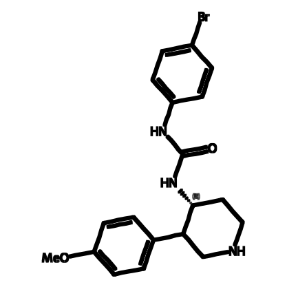 COc1ccc(C2CNCC[C@H]2NC(=O)Nc2ccc(Br)cc2)cc1